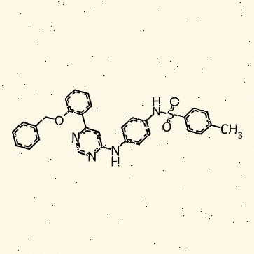 Cc1ccc(S(=O)(=O)Nc2ccc(Nc3cc(-c4ccccc4OCc4ccccc4)ncn3)cc2)cc1